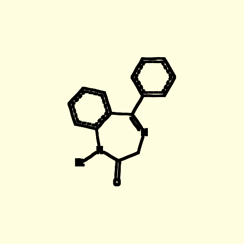 CCN1C(=O)CN=C(c2ccccc2)c2ccccc21